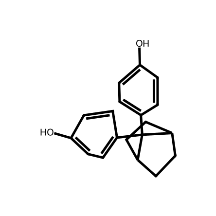 Oc1ccc(C2(c3ccc(O)cc3)C3CCC2CC3)cc1